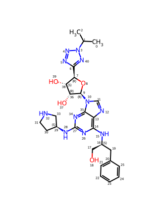 CC(C)n1nnc([C@H]2O[C@@H](n3cnc4c(N[C@H](CO)Cc5ccccc5)nc(N[C@H]5CCNC5)nc43)[C@H](O)[C@@H]2O)n1